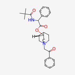 CC(C)(C)C(=O)NC(C(=O)O[C@H]1C[N+]2(CC(=O)c3ccccc3)CCC1CC2)c1ccccc1